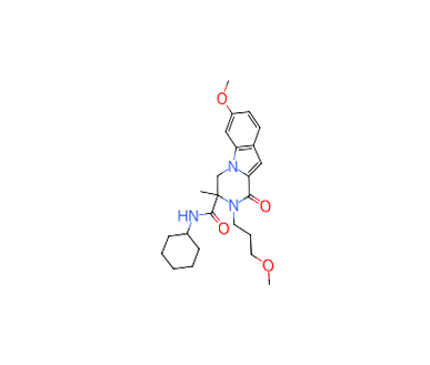 COCCCN1C(=O)c2cc3ccc(OC)cc3n2CC1(C)C(=O)NC1CCCCC1